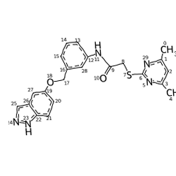 Cc1cc(C)nc(SCC(=O)Nc2cccc(COc3ccc4[nH]ncc4c3)c2)n1